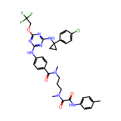 Cc1ccc(NC(=O)C(=O)N(C)CCCN(C)C(=O)c2ccc(Nc3nc(NC4(c5ccc(Cl)cc5)CC4)nc(OCC(F)(F)F)n3)cc2)cc1